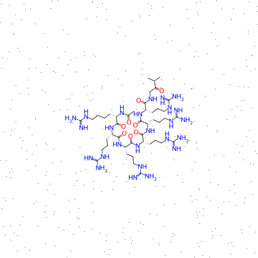 CC(=O)N[C@@H](CCCCNC(=N)N)C(=O)N[C@@H](CCCNC(=N)N)C(=O)N[C@@H](CCCNC(=N)N)C(=O)N[C@@H](CCCNC(=N)N)C(=O)N[C@@H](CCCNC(=N)N)C(=O)N[C@@H](CCCNC(=N)N)C(=O)NCC(=O)C(C)C